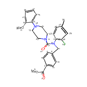 COC(=O)c1ccc(CN(C(=O)N2CCN(c3ccccc3OC)CC2)c2ccc(C)cc2F)cc1